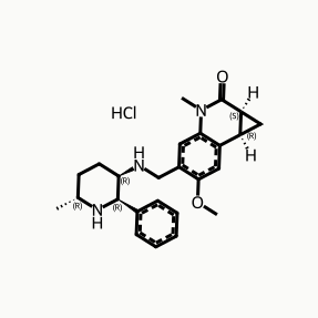 COc1cc2c(cc1CN[C@@H]1CC[C@@H](C)N[C@@H]1c1ccccc1)N(C)C(=O)[C@H]1C[C@@H]21.Cl